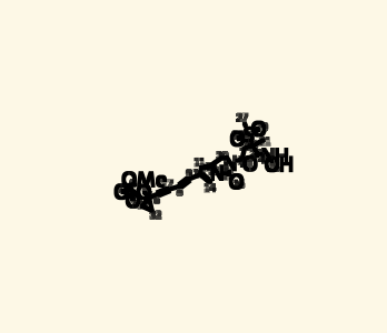 COS(=O)(=O)OC1(C#CC#Cc2cc3n(c2)C(=O)N(CCC(C)(C(=O)NO)S(C)(=O)=O)C3)CC1